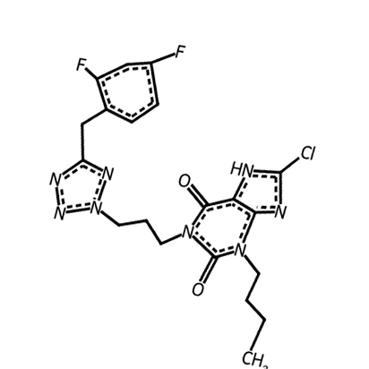 CCCCn1c(=O)n(CCCn2nnc(Cc3ccc(F)cc3F)n2)c(=O)c2[nH]c(Cl)nc21